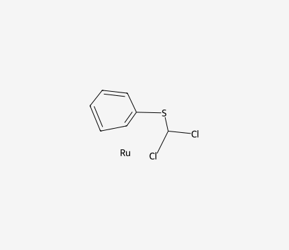 ClC(Cl)Sc1ccccc1.[Ru]